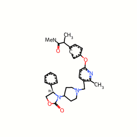 CNC(=O)C(C)c1ccc(Oc2ccc(CN3CCC(N4C(=O)OC[C@H]4c4ccccc4)CC3)c(C)n2)cc1